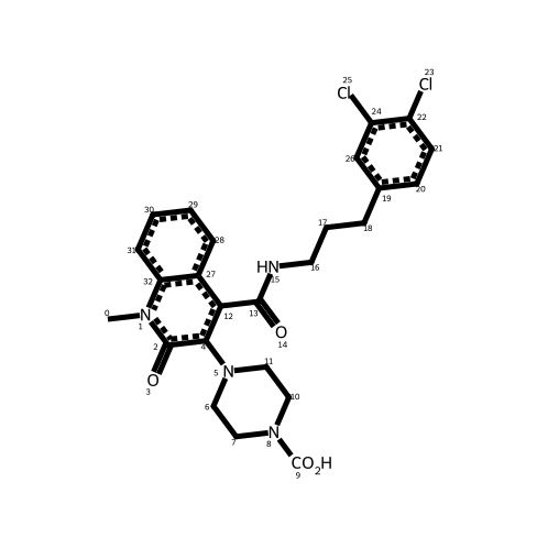 Cn1c(=O)c(N2CCN(C(=O)O)CC2)c(C(=O)NCCCc2ccc(Cl)c(Cl)c2)c2ccccc21